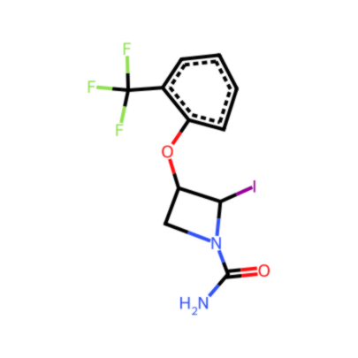 NC(=O)N1CC(Oc2ccccc2C(F)(F)F)C1I